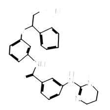 O=C(O)CC(Sc1cccc(NC(=O)c2cccc(NC3=NCCCN3)c2)c1)c1ccccc1